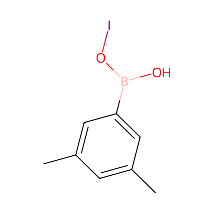 Cc1cc(C)cc(B(O)OI)c1